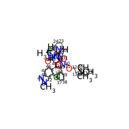 Cn1cc2c(Cl)c(-c3cn(COCC[Si](C)(C)C)c4nc(N5[C@H]6CC[C@@H]5[C@@H](F)[C@H](NC(=O)OCc5ccccc5)C6)n(C)c(=O)c34)ccc2n1